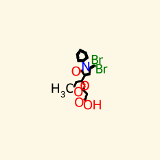 CCCC(OC(=O)CC(=O)O)C1=CC(=C(Br)Br)N(c2ccccc2)C1=O